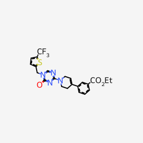 CCOC(=O)c1cccc(C2=CCN(c3ncn(Cc4ccc(C(F)(F)F)s4)c(=O)n3)CC2)c1